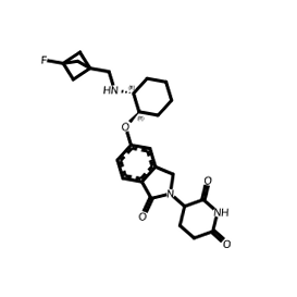 O=C1CCC(N2Cc3cc(O[C@@H]4CCCC[C@H]4NCC45CC(F)(C4)C5)ccc3C2=O)C(=O)N1